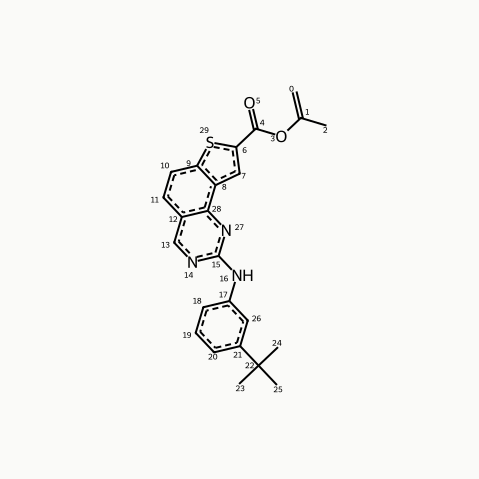 C=C(C)OC(=O)c1cc2c(ccc3cnc(Nc4cccc(C(C)(C)C)c4)nc32)s1